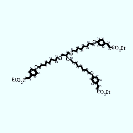 CCOC(=O)C=Cc1ccc(OCCCCCCCCOCC(COCCCCCCCCOc2ccc(C=CC(=O)OCC)cc2)OCCCCCCCCOc2ccc(C=CC(=O)OCC)cc2)cc1